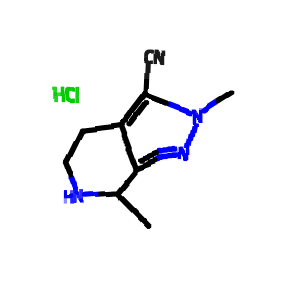 CC1NCCc2c1nn(C)c2C#N.Cl